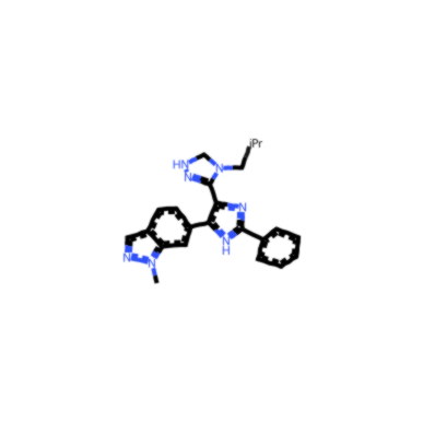 CC(C)CN1CNN=C1c1nc(-c2ccccc2)[nH]c1-c1ccc2cnn(C)c2c1